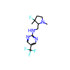 CN1CCC(C)(F)C1CNc1ncc(C(F)(F)F)cn1